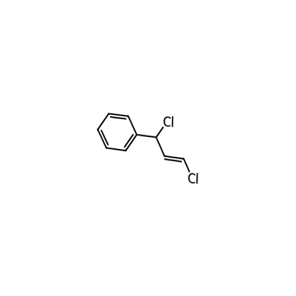 ClC=CC(Cl)c1ccccc1